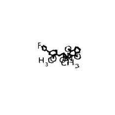 COc1cc(-c2ccc(F)cc2)ccc1CCn1c2c(n[n+]1OC)C(=O)c1ccccc1C2=O